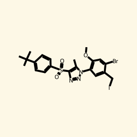 COc1cc(Br)c(CI)cc1-n1nnc(S(=O)(=O)c2ccc(C(C)(C)C)cc2)c1C